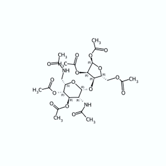 CC(=O)NC[C@@H]1O[C@H](O[C@H]2[C@@H](OC(C)=O)[C@@H](OC(C)=O)O[C@@H]2COC(C)=O)[C@H](NC(C)=O)[C@@H](OC(C)=O)[C@@H]1OC(C)=O